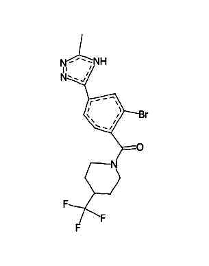 Cc1nnc(-c2ccc(C(=O)N3CCC(C(F)(F)F)CC3)c(Br)c2)[nH]1